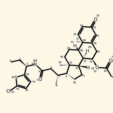 CC[C@@H](NC(=O)C[C@@H](C)[C@H]1CC[C@H]2[C@@H]3[C@H](OC(C)=O)CC4=CC(=O)C=C[C@]4(C)[C@H]3CC[C@]12C)c1ccc(Cl)s1